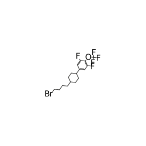 Fc1cc(C2CCC(CCCCBr)CC2)cc(F)c1OC(F)(F)F